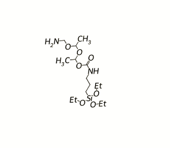 CCO[Si](CCCNC(=O)OC(C)OC(C)OCN)(OCC)OCC